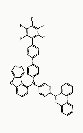 Fc1c(F)c(F)c(-c2ccc(-c3ccc(N(c4ccc(-c5cc6ccccc6c6ccccc56)cc4)c4cccc5oc6ccccc6c45)cc3)cc2)c(F)c1F